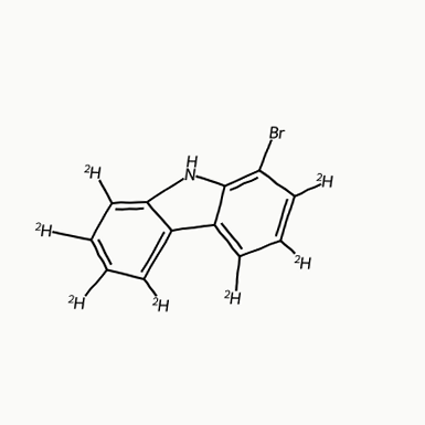 [2H]c1c([2H])c([2H])c2c([nH]c3c(Br)c([2H])c([2H])c([2H])c32)c1[2H]